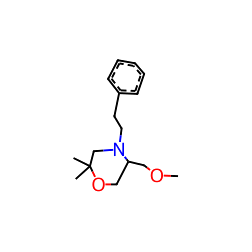 COCC1COC(C)(C)CN1CCc1ccccc1